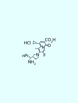 CCC[C@H](N)[C@@H]1CCN(c2c(F)cn3c(=O)c(C(=O)O)cc(C4CC4)c3c2C)C1.Cl